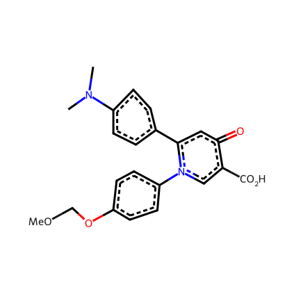 COCOc1ccc(-n2cc(C(=O)O)c(=O)cc2-c2ccc(N(C)C)cc2)cc1